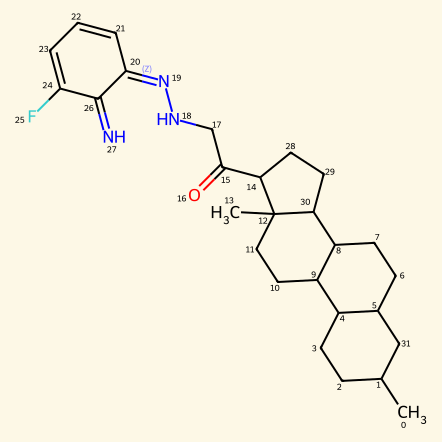 CC1CCC2C(CCC3C2CCC2(C)C(C(=O)CN/N=C4/C=CC=C(F)C4=N)CCC32)C1